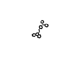 C(=Cc1cc2ccccc2c2ccccc12)c1ccc(N(c2ccccc2)c2ccccc2)cc1